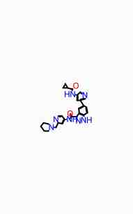 O=C(Nc1ccnc(CN2CCCCC2)c1)c1n[nH]c2ccc(-c3cncc(NC(=O)C4CC4)c3)cc12